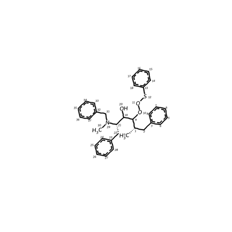 C[C@@H](Cc1ccccc1)C(OOSc1ccccc1)C(O)[C@H](Cc1ccccc1)N(C)Cc1ccccc1